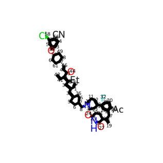 C=C/C(C=C1CCC(CN2CCC=C(c3cc(CC(=C)C4CCC(=O)NC4=O)c(C(C)=O)cc3F)CC2)CC1)=C\C(CC)=C(/C=C)C(=O)/C=C/[C@H]1CC[C@H](Oc2ccc(C#N)c(Cl)c2)CC1